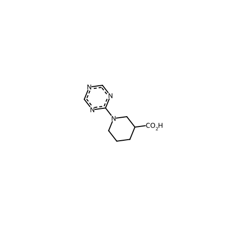 O=C(O)C1CCCN(c2ncncn2)C1